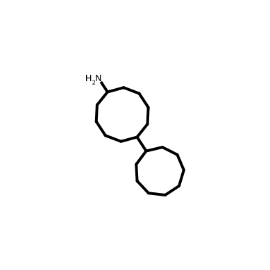 NC1CCCCC(C2CCCCCCCC2)CCCC1